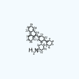 Nc1ccc(-c2ccccc2-c2ccc(-c3cc4ccccc4c4ccccc34)cc2)cc1